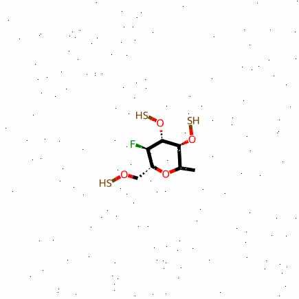 CC1O[C@H](COS)[C@@H](F)[C@H](OS)[C@H]1OS